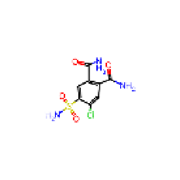 NC(=O)c1cc(Cl)c(S(N)(=O)=O)cc1C(N)=O